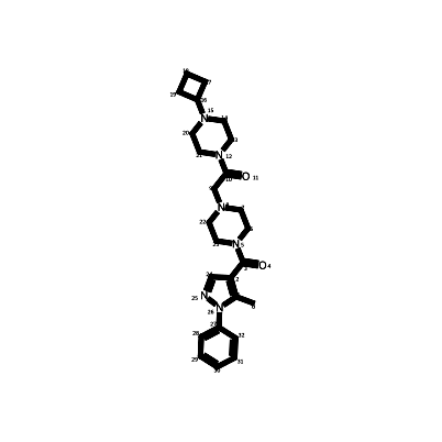 Cc1c(C(=O)N2CCN(CC(=O)N3CCN(C4CCC4)CC3)CC2)cnn1-c1ccccc1